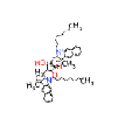 CCCCCCCCN1/C(=C\C2=C(O)C(=C/C3=[N+](CCCCCCCC)c4cc5ccccc5cc4C3(C)C)/C(=O)C2=O)C(C)(C)c2cc3ccccc3cc21